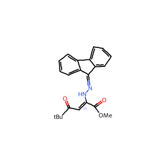 COC(=O)/C(=C/C(=O)C(C)(C)C)NN=C1c2ccccc2-c2ccccc21